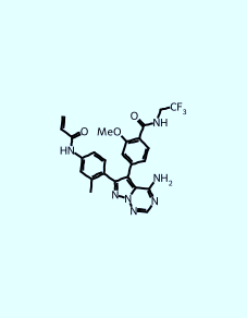 C=CC(=O)Nc1ccc(-c2nn3ncnc(N)c3c2-c2ccc(C(=O)NCC(F)(F)F)c(OC)c2)c(C)c1